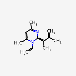 C=CN1C(C)=CC(C)=N/C1=C(/C)C(=C)C